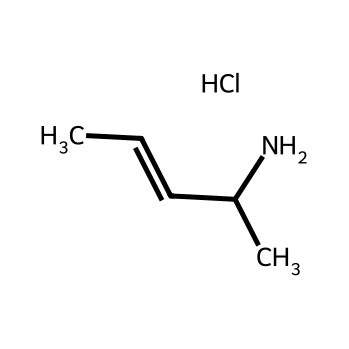 C/C=C/C(C)N.Cl